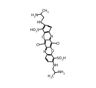 CC(N)CNc1ccc2c(c1S(=O)(=O)O)Oc1c(Cl)c3c(c(Cl)c1=N2)Oc1c(ccc(NCC(C)N)c1S(=O)(=O)O)N=3